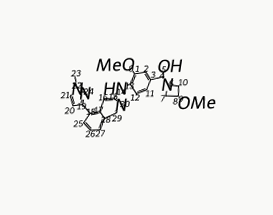 COc1cc(C(O)N2CC(OC)C2)ccc1Nc1cc2c(-c3ccn(C)n3)cccc2cn1